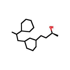 CC(CC1CCCC(CC[C@H](C)O)C1)C1CCCCC1